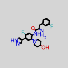 NC(Cc1cccc(F)c1)C(=O)Nc1cc(F)c(-c2cn[nH]c2)cc1N1CCC(O)CC1